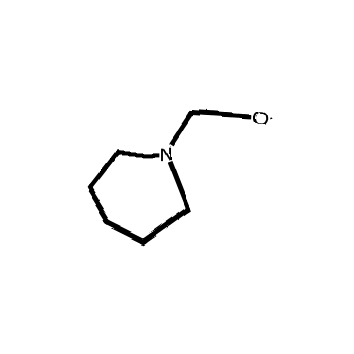 [O]CN1CCCCC1